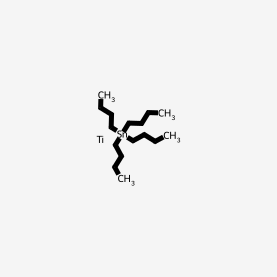 CCC[CH2][Sn]([CH2]CCC)([CH2]CCC)[CH2]CCC.[Ti]